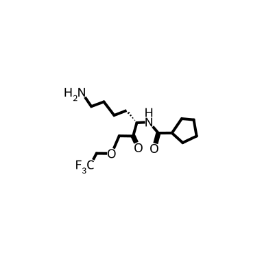 NCCCC[C@H](NC(=O)C1CCCC1)C(=O)COCC(F)(F)F